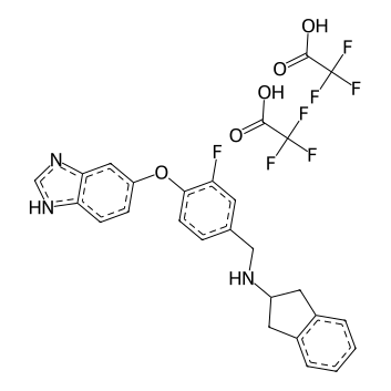 Fc1cc(CNC2Cc3ccccc3C2)ccc1Oc1ccc2[nH]cnc2c1.O=C(O)C(F)(F)F.O=C(O)C(F)(F)F